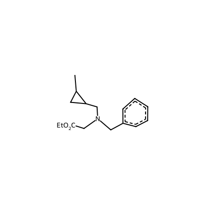 CCOC(=O)CN(Cc1ccccc1)CC1CC1C